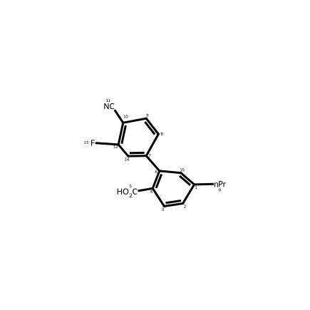 CCCc1ccc(C(=O)O)c(-c2ccc(C#N)c(F)c2)c1